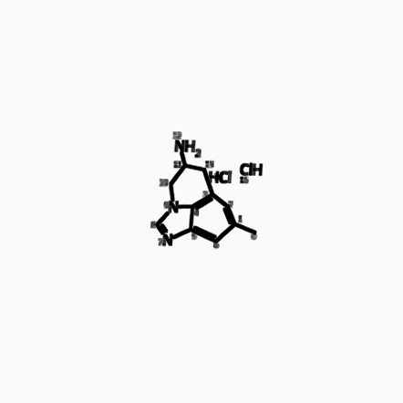 Cc1cc2c3c(c1)ncn3CC(N)C2.Cl.Cl